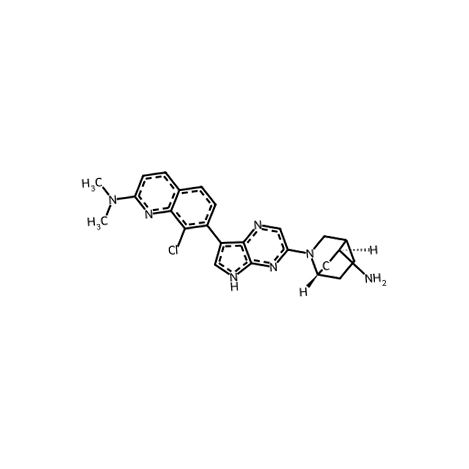 CN(C)c1ccc2ccc(-c3c[nH]c4nc(N5CC6CC[C@H]5C[C@@H]6N)cnc34)c(Cl)c2n1